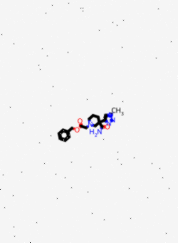 Cn1cc(C2(C(N)=O)CCCN(CC(=O)OCc3ccccc3)C2)nn1